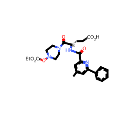 CCOC(=O)ON1CCN(C(=O)[C@H](CCC(=O)O)NC(=O)c2cc(C)cc(-c3ccccc3)n2)CC1